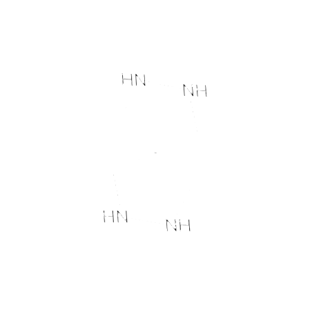 C1NNCC12CNNC2